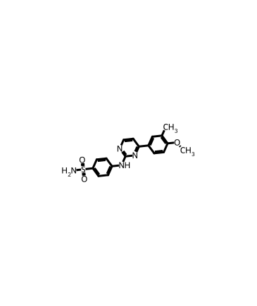 COc1ccc(-c2ccnc(Nc3ccc(S(N)(=O)=O)cc3)n2)cc1C